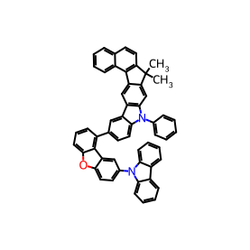 CC1(C)c2cc3c(cc2-c2c1ccc1ccccc21)c1cc(-c2cccc4oc5ccc(-n6c7ccccc7c7ccccc76)cc5c24)ccc1n3-c1ccccc1